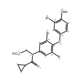 CCOC(=O)CN(C(=O)C1CC1)c1cc(Br)c(Oc2ccc(OC)c(C(C)C)c2)c(Br)c1